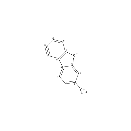 Cc1ccc2c(c1)sc1ccc#cc12